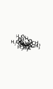 CCCCCO[C@@H](C)C(OC(=O)[C@H](C)NC(=O)OC(C)(C)C)C(C)C